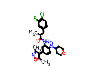 Cc1noc(C)c1-c1ccc(NC2CCOCC2)c(NC(=O)C(C)Cc2ccc(Cl)c(F)c2)c1